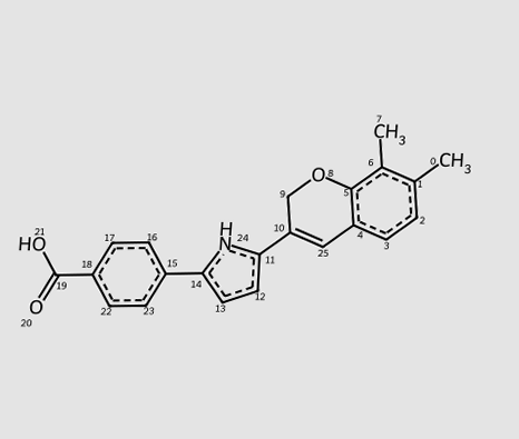 Cc1ccc2c(c1C)OCC(c1ccc(-c3ccc(C(=O)O)cc3)[nH]1)=C2